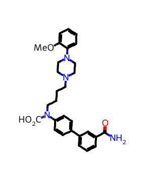 COc1ccccc1N1CCN(CCCCN(C(=O)O)c2ccc(-c3cccc(C(N)=O)c3)cc2)CC1